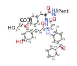 CCCCCNC(=O)[C@H](Cc1ccc(OC(C(=O)O)C(=O)O)cc1)NC(=O)[C@H](Cc1ccc(C(=O)c2ccccc2)cc1)NC(=O)CCc1ccc(O)cc1